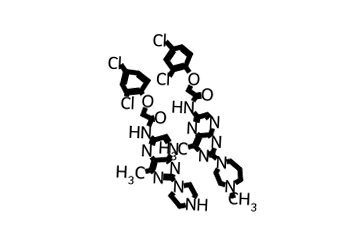 Cc1nc(N2CCCN(C)CC2)nc2ncc(NC(=O)COc3ccc(Cl)cc3Cl)nc12.Cc1nc(N2CCNCC2)nc2ncc(NC(=O)COc3ccc(Cl)cc3Cl)nc12